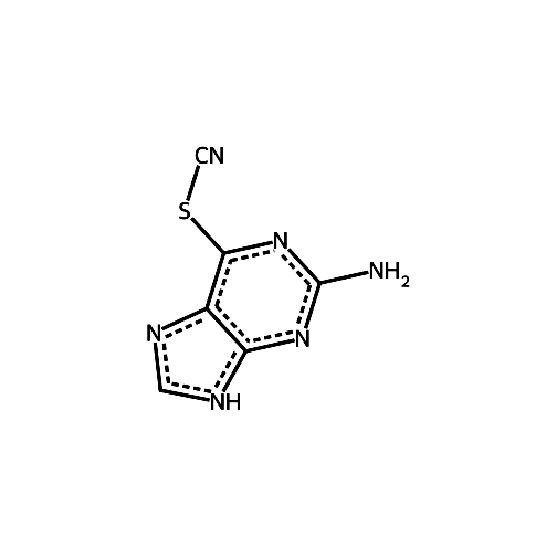 N#CSc1nc(N)nc2[nH]cnc12